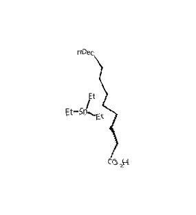 CCCCCCCCCCCCCCCCCC(=O)O.C[CH2][Sn]([CH2]C)[CH2]C